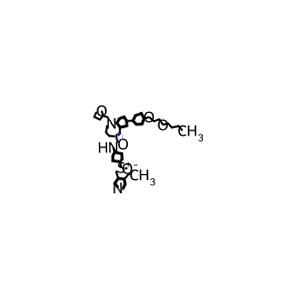 CCCCOCCOc1ccc(-c2ccc3c(c2)/C=C(/C(=O)Nc2ccc([S+]([O-])Cc4cnccc4CC)cc2)CCCN3CC2CCCO2)cc1